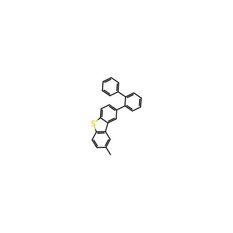 Cc1ccc2sc3ccc(-c4ccccc4-c4ccccc4)cc3c2c1